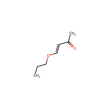 CCCOC=CC(C)=O